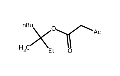 CCCCC(C)(CC)OC(=O)CC(C)=O